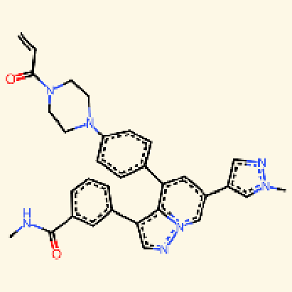 C=CC(=O)N1CCN(c2ccc(-c3cc(-c4cnn(C)c4)cn4ncc(-c5cccc(C(=O)NC)c5)c34)cc2)CC1